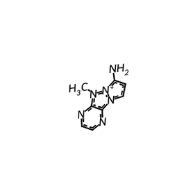 Cn1c2nccnc2n2ccc(N)[n+]12